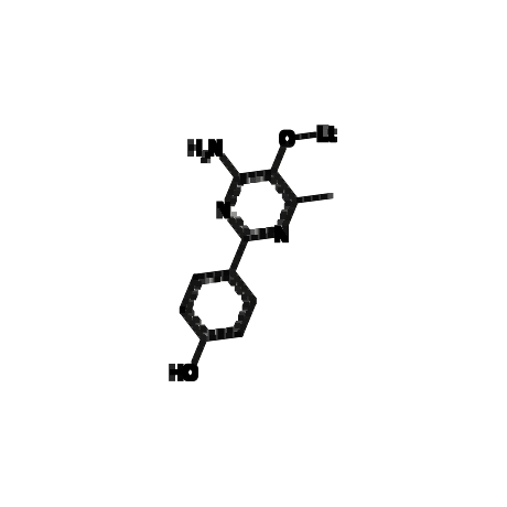 CCOc1c(C)nc(-c2ccc(O)cc2)nc1N